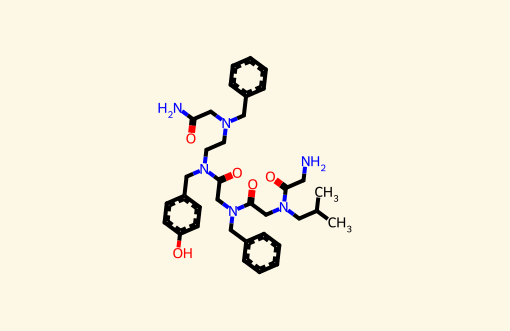 CC(C)CN(CC(=O)N(CC(=O)N(CCN(CC(N)=O)Cc1ccccc1)Cc1ccc(O)cc1)Cc1ccccc1)C(=O)CN